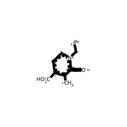 Cc1c(C(=O)O)ccn(CC(C)C)c1=O